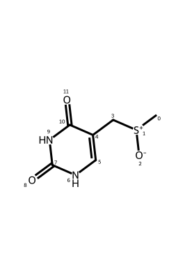 C[S+]([O-])Cc1c[nH]c(=O)[nH]c1=O